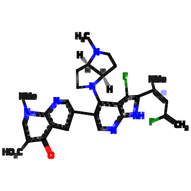 C=C(F)/C=C(/NC)c1[nH]c2ncc(-c3cnc4c(c3)c(=O)c(C(=O)O)cn4NC)c(N3CC[C@@H]4[C@H]3CCN4C)c2c1F